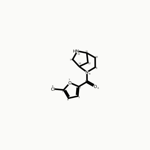 O=C(c1ccc(Cl)o1)N1CCC2CC1CN2